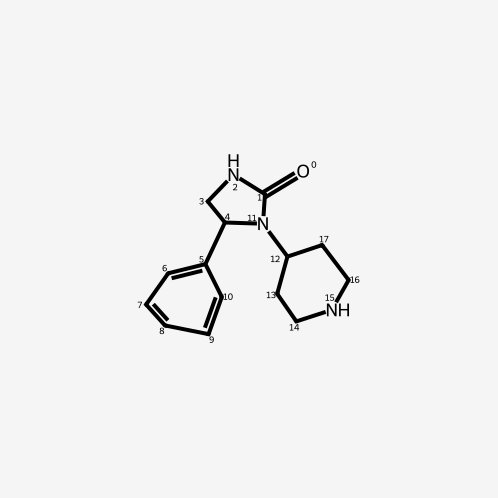 O=C1NCC(c2ccccc2)N1C1CCNCC1